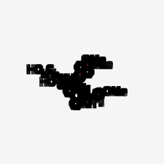 COc1ccc(CN(Cc2ccc(OC)cc2)S(=O)(=O)c2c(S(=O)(=O)N[C@H](CO)CNC(=O)O)ccc(-c3cccc4[nH]c(N)nc34)c2-c2nnn(Cc3ccc(OC)cc3)n2)cc1